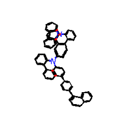 c1ccc(-c2cc(N(c3ccc(-c4ccc(-c5cccc6ccccc56)cc4)cc3)c3ccccc3-c3ccccc3)ccc2-c2ccccc2-n2c3ccccc3c3ccccc32)cc1